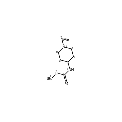 CNN1CCC(NC(=O)OC(C)(C)C)CC1